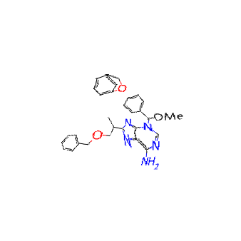 COC(c1ccccc1)n1cnc(N)c2nc(C(C)COCc3ccccc3)nc1-2.c1cc2cc(c1)OC2